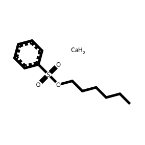 CCCCCCOS(=O)(=O)c1ccccc1.[CaH2]